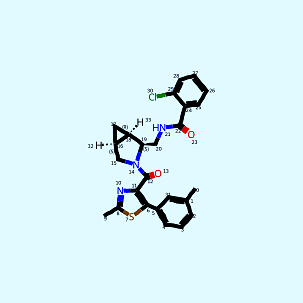 Cc1cccc(-c2sc(C)nc2C(=O)N2C[C@H]3C[C@H]3[C@H]2CNC(=O)c2ccccc2Cl)c1